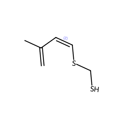 C=C(C)/C=C\SCS